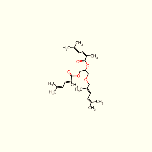 CC(C)=C/C=C(/C)C(=O)OC(COC/C(C)=C/C=C(C)C)COC(=O)/C(C)=C/C=C(C)C